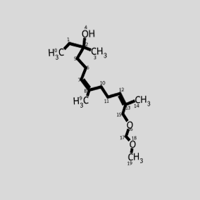 CCC(C)(O)CCC=C(C)CCC=C(C)COCOC